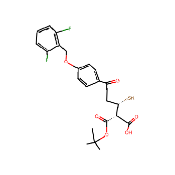 CC(C)(C)OC(=O)[C@@H](C(=O)O)[C@@H](S)CC(=O)c1ccc(OCc2c(F)cccc2F)cc1